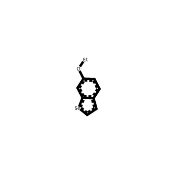 CCOc1ccc2cc[se]c2c1